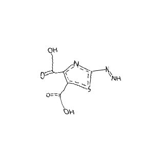 N=Nc1nc(C(=O)O)c(C(=O)O)s1